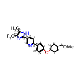 COC[C@H]1CC[C@@H](Oc2ccc(-c3ccc(-c4nc(C(F)(F)F)c(C)[nH]4)cn3)cc2)CC1